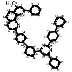 Cc1cc(-c2ccccc2)nc2c1ccc1ccc(-c3ccc(-c4cccc(-c5cc(-c6ccccc6)nc(C6=CCC(c7ccccc7)C=C6)n5)c4)cc3)nc12